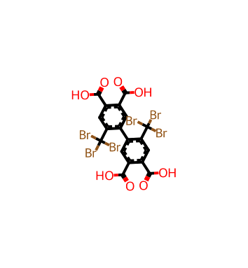 O=C(O)c1cc(-c2cc(C(=O)O)c(C(=O)O)cc2C(Br)(Br)Br)c(C(Br)(Br)Br)cc1C(=O)O